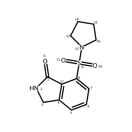 O=C1NCc2cccc(S(=O)(=O)N3CCCC3)c21